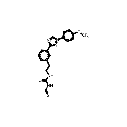 O=C(NC=S)NCCc1cccc(-c2ncn(-c3ccc(OC(F)(F)F)cc3)n2)c1